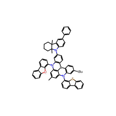 Cc1cc2c3c(c1)N(c1cccc4c1sc1ccccc14)c1cc(C(C)(C)C)ccc1B3c1ccc(N3c4ccc(-c5ccccc5)cc4C4(C)CCCCC34C)cc1N2c1cccc2c1oc1ccccc12